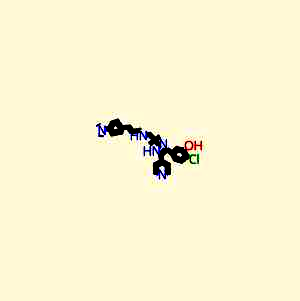 CN(C)c1ccc(C=CCNCC(C)(C)c2nc(-c3ccc(Cl)c(O)c3)c(-c3ccncc3)[nH]2)cc1